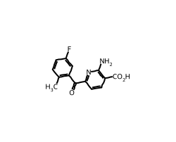 Cc1ccc(F)cc1C(=O)c1ccc(C(=O)O)c(N)n1